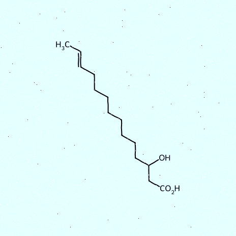 CC=CCCCCCCCCC(O)CC(=O)O